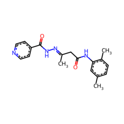 C/C(CC(=O)Nc1cc(C)ccc1C)=N\NC(=O)c1ccncc1